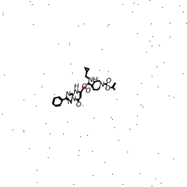 C=C(C)OC(=O)N1CCC(OCc2cc(=O)n3nc(-c4ccccc4)nc3[nH]2)(C(=O)NCC2CC2)CC1